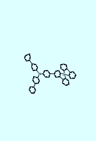 c1ccc(-c2ccc(N(c3ccc(-c4ccccc4)cc3)c3ccc(-c4ccc5c(c4)-c4ccccc4[Si]54c5ccccc5-c5ccccc54)cc3)cc2)cc1